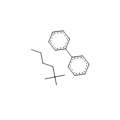 CCCCC(C)(C)Cl.c1ccc(-c2ccccc2)cc1